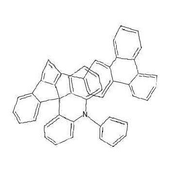 c1ccc(N2c3ccccc3C3(c4ccccc4-c4cccc(-c5ccc6c7ccccc7c7ccccc7c6c5)c43)c3ccccc32)cc1